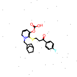 O=C(O)OC1=C(SCCC(=O)c2ccc(F)cc2)N(CC2CC3CCC2C3)CC=C1